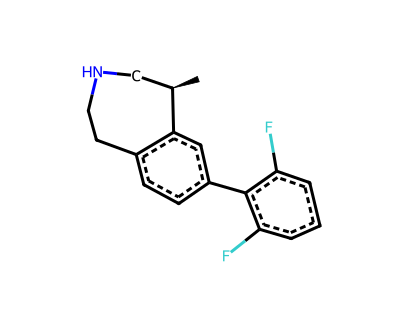 C[C@@H]1CNCCc2ccc(-c3c(F)cccc3F)cc21